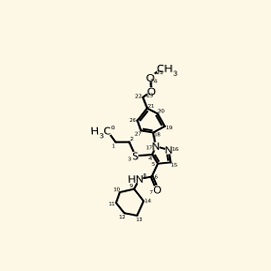 CCCSc1c(C(=O)NC2CCCCC2)cnn1-c1ccc(COOC)cc1